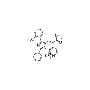 NC(=O)/C(=C/n1nc(-c2ccccc2C(F)(F)F)nc1-c1ccccc1C(F)(F)F)c1ccnnc1